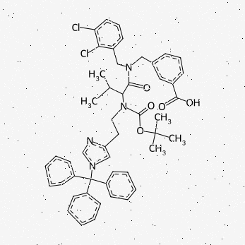 CC(C)C(C(=O)N(Cc1cccc(C(=O)O)c1)Cc1cccc(Cl)c1Cl)N(CCc1cn(C(c2ccccc2)(c2ccccc2)c2ccccc2)cn1)C(=O)OC(C)(C)C